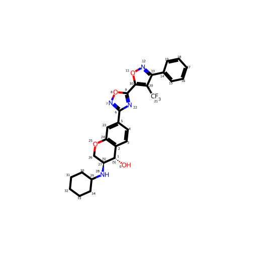 O[C@H]1c2ccc(-c3noc(-c4onc(-c5ccccc5)c4C(F)(F)F)n3)cc2OC[C@@H]1NC1CCCCC1